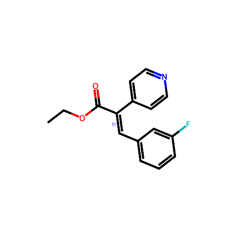 CCOC(=O)/C(=C/c1cccc(F)c1)c1ccncc1